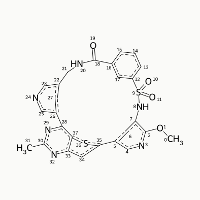 COc1ncc2cc1NS(=O)(=O)c1cccc(c1)C(=O)NCc1cncc(c1)-c1nc(C)nc3cc-2sc13